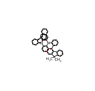 CC1(C)c2ccccc2-c2c(-c3ccccc3N(c3ccc4ccccc4c3)c3ccccc3-n3c4ccccc4c4ccccc43)cccc21